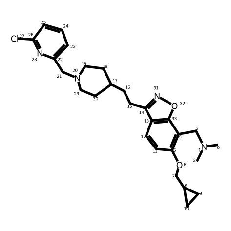 CN(C)Cc1c(OCC2CC2)ccc2c(CCC3CCN(Cc4cccc(Cl)n4)CC3)noc12